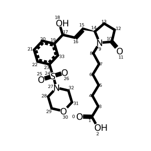 O=C(O)CCCCCCN1C(=O)CC[C@@H]1C=CC(O)c1cccc(S(=O)(=O)N2CCOCC2)c1